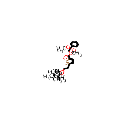 COC(COC(=O)c1ccc(CCO[Si](C)(C)C(C)(C)C)s1)(OC)c1ccccc1